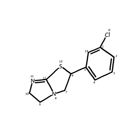 Clc1cccc(C2CN3CCN=C3S2)c1